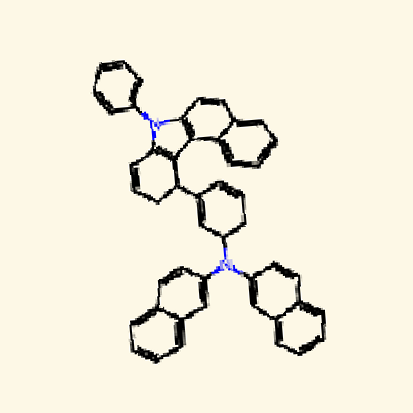 C1=Cc2c(c3c4ccccc4ccc3n2-c2ccccc2)C(C2=CC(N(c3ccc4ccccc4c3)c3ccc4ccccc4c3)CC=C2)C1